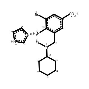 CCN(Cc1cc(C(=O)O)cc(Br)c1N)C1CCCCC1.c1c[nH]cn1